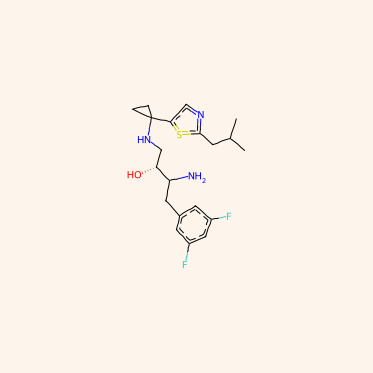 CC(C)Cc1ncc(C2(NC[C@@H](O)C(N)Cc3cc(F)cc(F)c3)CC2)s1